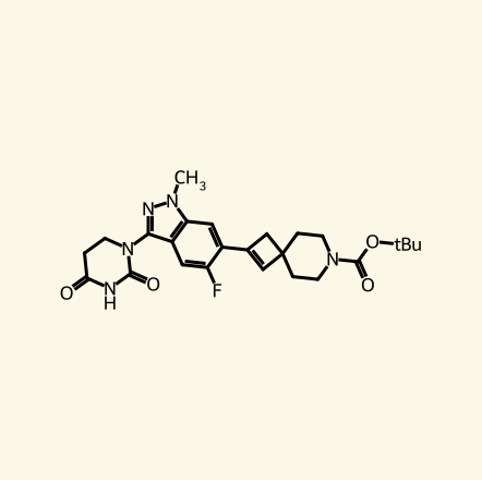 Cn1nc(N2CCC(=O)NC2=O)c2cc(F)c(C3=CC4(CCN(C(=O)OC(C)(C)C)CC4)C3)cc21